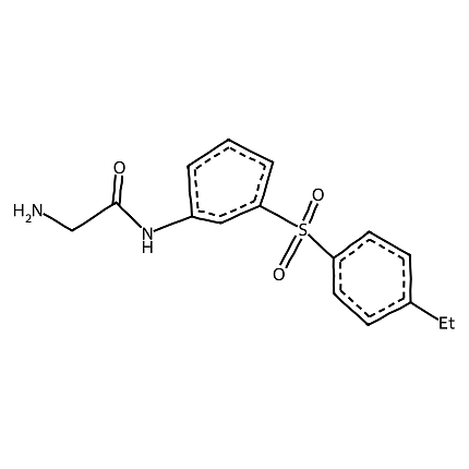 CCc1ccc(S(=O)(=O)c2cccc(NC(=O)CN)c2)cc1